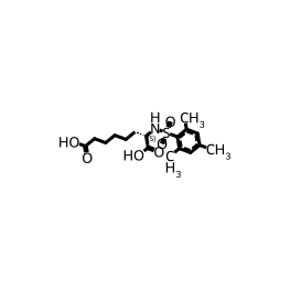 Cc1cc(C)c(S(=O)(=O)N[C@@H](CCCCCC(=O)O)C(=O)O)c(C)c1